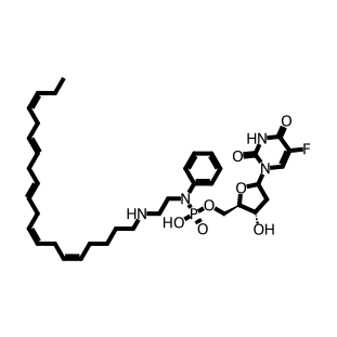 CC/C=C\CC=CCC=CC/C=C\C/C=C\CCCCNCCN(c1ccccc1)P(=O)(O)OC[C@H]1OC(n2cc(F)c(=O)[nH]c2=O)C[C@@H]1O